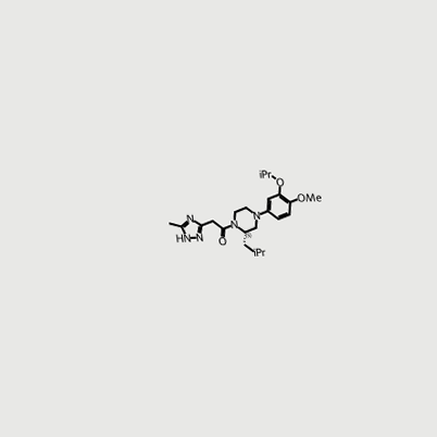 COc1ccc(N2CCN(C(=O)Cc3n[nH]c(C)n3)[C@@H](CC(C)C)C2)cc1OC(C)C